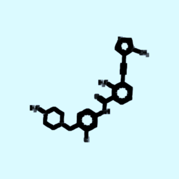 Cc1c(C#Cc2cncn2C)cccc1C(=O)Nc1ccc(CN2CCN(C)CC2)c(Cl)c1